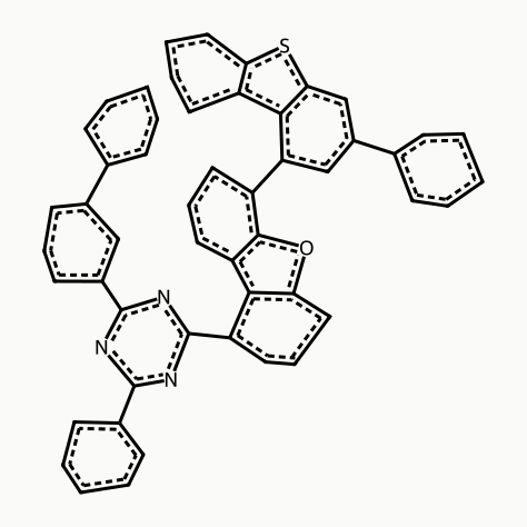 c1ccc(-c2cccc(-c3nc(-c4ccccc4)nc(-c4cccc5oc6c(-c7cc(-c8ccccc8)cc8sc9ccccc9c78)cccc6c45)n3)c2)cc1